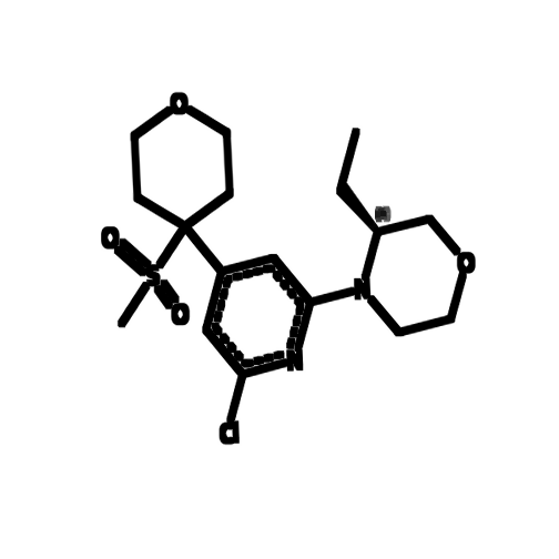 CC[C@H]1COCCN1c1cc(C2(S(C)(=O)=O)CCOCC2)cc(Cl)n1